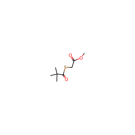 COC(=O)CSC(=O)C(C)(C)C